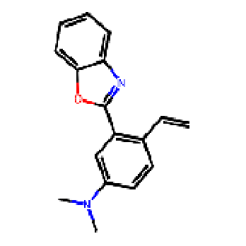 C=Cc1ccc(N(C)C)cc1-c1nc2ccccc2o1